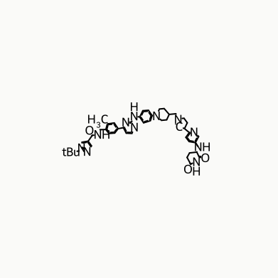 Cc1cc(-c2ccnc(Nc3ccc(N4CCC(CN5CCC(c6ccc(NC7CCC(=O)NC7=O)cn6)CC5)CC4)cc3)n2)ccc1CNC(=O)c1cnn(C(C)(C)C)c1